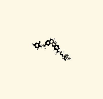 C[C@H]1c2ccc(C(=O)NCc3c(F)cc(F)cc3F)cc2N(Cc2c(F)ccc(C(=O)NCCOP(=O)(O)O)c2F)C(=O)N1C